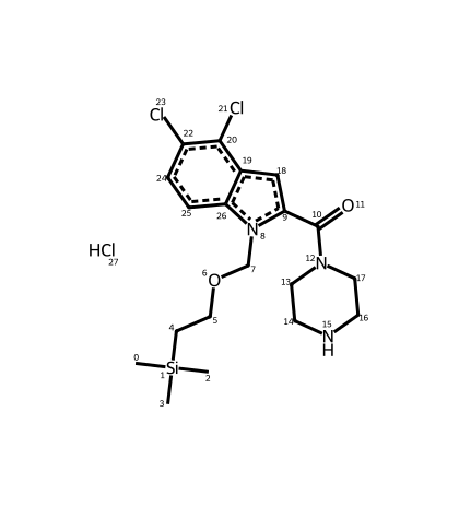 C[Si](C)(C)CCOCn1c(C(=O)N2CCNCC2)cc2c(Cl)c(Cl)ccc21.Cl